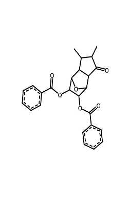 CC1C(=O)C2C3OC(C(OC(=O)c4ccccc4)C3OC(=O)c3ccccc3)C2C1C